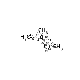 CCCN(CCCSC)C1CCc2c(cccc2OC)C1